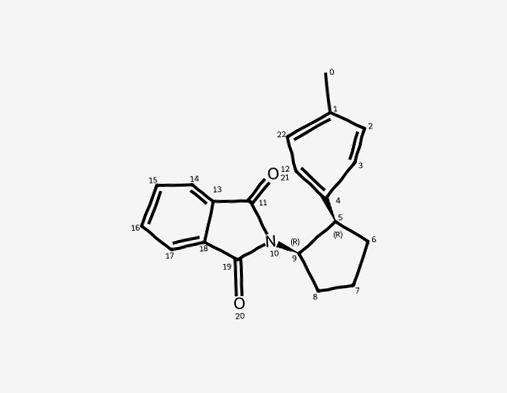 Cc1ccc([C@H]2CCC[C@H]2N2C(=O)c3ccccc3C2=O)cc1